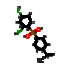 C=C(C#N)c1ccc(S(=O)(=O)c2ccc(F)cc2F)cc1